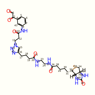 O=CC(=O)c1cccc(NC(=O)CCn2cc(CCCC(=O)NCCNC(=O)CCCC[C@@H]3SC[C@@H]4NC(=O)N[C@@H]43)nn2)c1